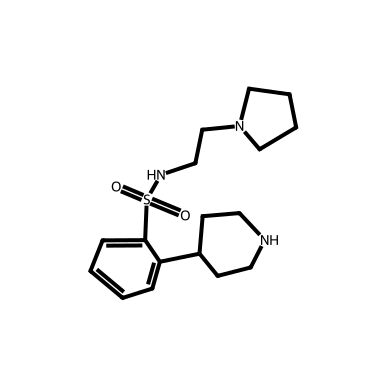 O=S(=O)(NCCN1CCCC1)c1ccccc1C1CCNCC1